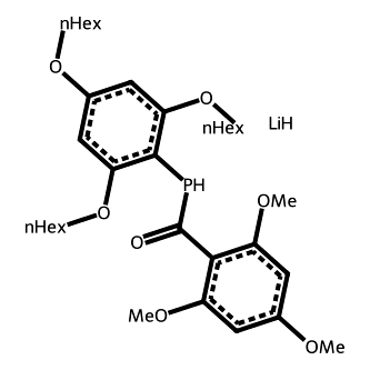 CCCCCCOc1cc(OCCCCCC)c(PC(=O)c2c(OC)cc(OC)cc2OC)c(OCCCCCC)c1.[LiH]